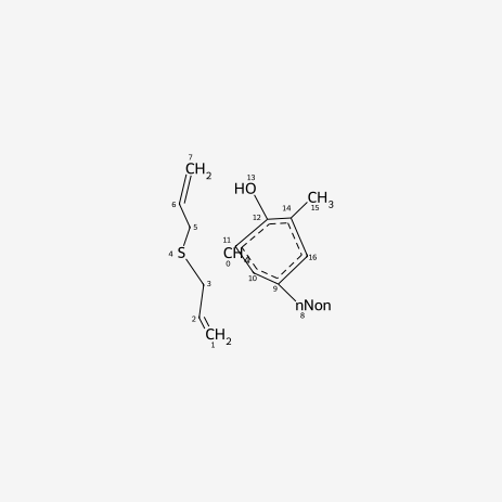 C.C=CCSCC=C.CCCCCCCCCc1ccc(O)c(C)c1